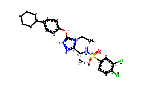 CCn1c(Oc2ccc(C3CCCCC3)cc2)nnc1[C@@H](C)NS(=O)(=O)c1ccc(Cl)c(Cl)c1